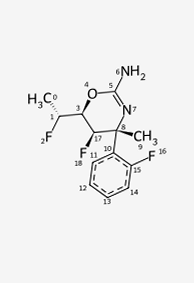 C[C@@H](F)[C@H]1OC(N)=N[C@](C)(c2ccccc2F)[C@H]1F